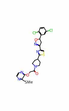 CSc1nccnc1OCC(=O)N1CCC(c2nc(C3=NOC(c4cc(Cl)ccc4Cl)C3)cs2)CC1